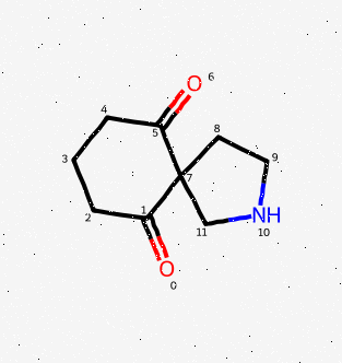 O=C1CCCC(=O)C12CCNC2